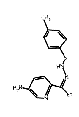 CC/C(=N/NSc1ccc(C)cc1)c1ccc(N)cn1